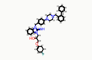 N=c1n(Cc2ccc(N3CCN(Cc4ccccc4-c4ccccc4)CC3)cc2)c2ccccc2n1CC(O)COC1=CCC(F)CC1